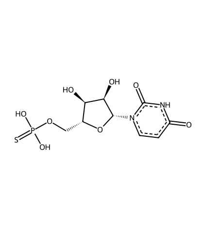 O=c1ccn([C@@H]2O[C@H](COP(O)(O)=S)[C@@H](O)[C@H]2O)c(=O)[nH]1